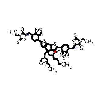 CCCCC(CC)CC1(CC(CC)CCCC)c2cc(-c3ccc(/C=C4\SC(=S)N(CC)C4=O)c4nsnc34)sc2-c2sc(-c3ccc(/C=C4\SC(=S)N(CC)C4=O)c4nsnc34)cc21